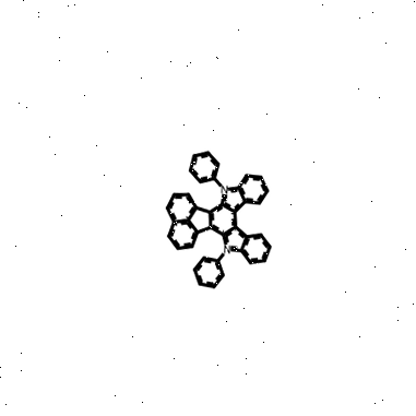 c1ccc(-n2c3ccccc3c3c4c5ccccc5n(-c5ccccc5)c4c4c(c32)-c2cccc3cccc-4c23)cc1